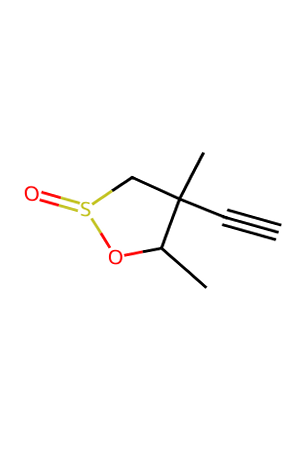 C#CC1(C)CS(=O)OC1C